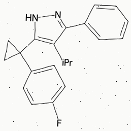 CC(C)c1c(-c2ccccc2)n[nH]c1C1(c2ccc(F)cc2)CC1